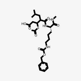 CNC(=O)[C@H](CCCCNC(=O)OCc1ccccc1)NC(=O)C(CC(C)C)C(CC(=O)O)SC(C)=O